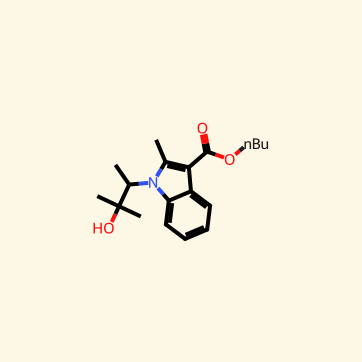 CCCCOC(=O)c1c(C)n(C(C)C(C)(C)O)c2ccccc12